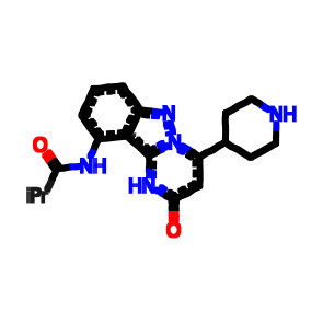 CC(C)C(=O)Nc1cccc2nn3c(C4CCNCC4)cc(=O)[nH]c3c12